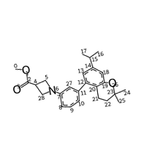 COC(=O)C1CN(c2cccc(-c3cc(C(C)C)cc4c3CCC(C)(C)O4)c2)C1